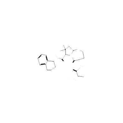 CCC1(CC)CC2OCC[C@H](NC(=O)[C@H](C)NC)C(=O)N2C1C(=O)N[C@@H]1CCCc2ccccc21